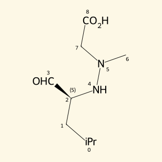 CC(C)C[C@@H](C=O)NN(C)CC(=O)O